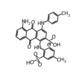 Cc1ccc(Nc2cc(S(=O)(=O)O)c(Nc3ccc(C)cc3S(=O)(=O)O)c3c2C(=O)c2c(N)cccc2C3=O)cc1